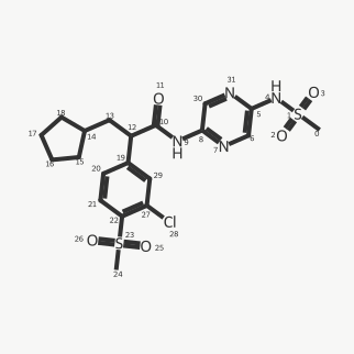 CS(=O)(=O)Nc1cnc(NC(=O)C(CC2CCCC2)c2ccc(S(C)(=O)=O)c(Cl)c2)cn1